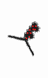 CCCCCCCCCCCCCCCCCC1N=CNC1CCCCCCCCCCCCCCCCC.Fc1c(F)c(F)c(B(c2c(F)c(F)c(F)c(F)c2F)c2c(F)c(F)c(F)c(F)c2F)c(F)c1F.Fc1c(F)c(F)c(B(c2c(F)c(F)c(F)c(F)c2F)c2c(F)c(F)c(F)c(F)c2F)c(F)c1F